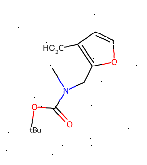 CN(Cc1occc1C(=O)O)C(=O)OC(C)(C)C